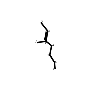 [CH2]/C(=C\C)CCCC